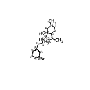 CC1CCC(C(C)C)C(O)(C(=O)NCCc2cccc(Br)c2)C1